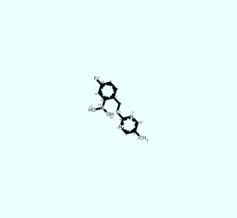 Cc1cnc(SCc2ccc(F)cc2B(O)O)nc1